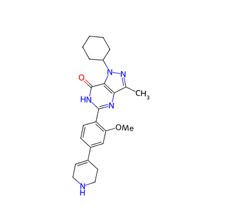 COc1cc(C2=CCNCC2)ccc1-c1nc2c(C)nn(C3CCCCC3)c2c(=O)[nH]1